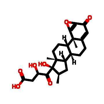 C[C@@H]1C[C@H]2[C@@H]3CCC4=CC(=O)C5=C(O5)[C@]4(C)[C@H]3CC[C@]2(C)[C@@]1(O)C(=O)C(O)CC(=O)O